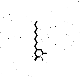 C=C1CC(CCCCCCCC)CC(C)N1C